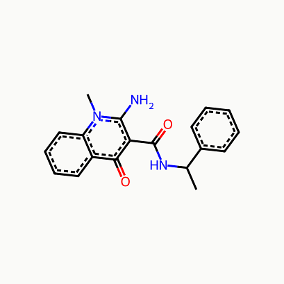 CC(NC(=O)c1c(N)n(C)c2ccccc2c1=O)c1ccccc1